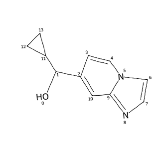 OC(c1ccn2ccnc2c1)C1CC1